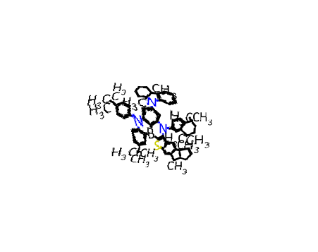 CC1c2cc3sc4c(c3cc2C2(C)CCCC12)N(c1ccc2c(c1)C(C)(C)CCC2(C)C)c1cc(N2c3ccccc3C3(C)CCCCC23C)cc2c1B4c1cc(C(C)(C)C)ccc1N2c1ccc(C(C)(C)C)cc1